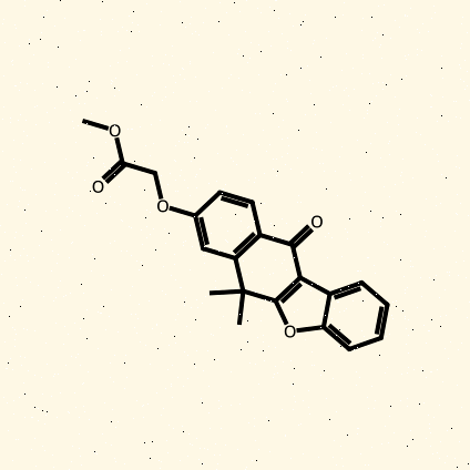 COC(=O)COc1ccc2c(c1)C(C)(C)c1oc3ccccc3c1C2=O